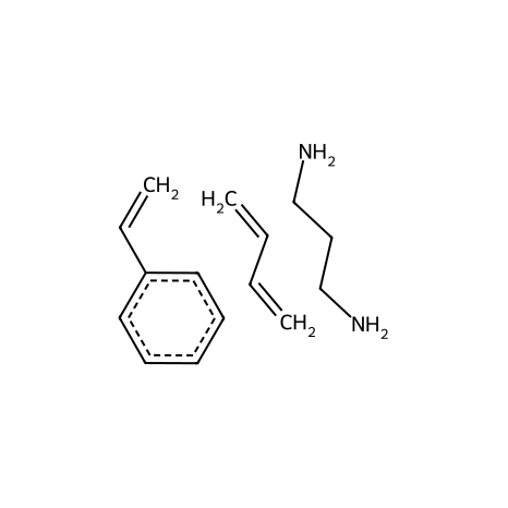 C=CC=C.C=Cc1ccccc1.NCCCN